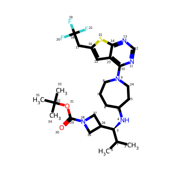 CC(C)[C@H](NC1CCCN(c2ncnc3sc(CC(F)(F)F)cc23)CC1)C1CN(C(=O)OC(C)(C)C)C1